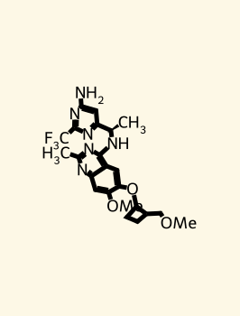 COCC1CCC1Oc1cc2c(N[C@H](C)c3cc(N)nc(C(F)(F)F)n3)nc(C)nc2cc1OC